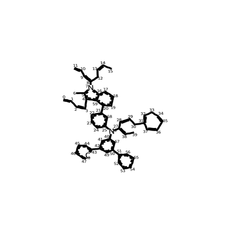 C=C/C=C\c1c(C)n(/C(=C/C=C)C/C=C\C)c2cccc(-c3cccc(N(C(/C=C\CC4=CCC=CC=C4)=C/C)c4cc(-c5ccccc5)cc(-c5ccccc5)c4)c3)c12